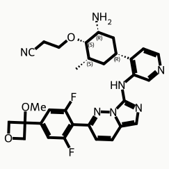 COC1(c2cc(F)c(-c3ccc4cnc(Nc5cnccc5[C@H]5C[C@@H](N)[C@@H](OCCC#N)[C@@H](C)C5)n4n3)c(F)c2)COC1